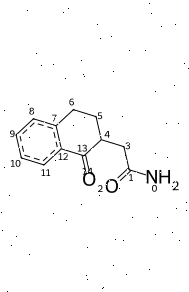 NC(=O)CC1CCc2ccccc2C1=O